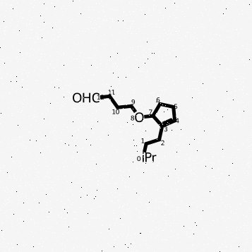 CC(C)CCC1=CCCC1OCCCC=O